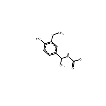 COc1cc(C(C)NC([O])=O)ccc1O